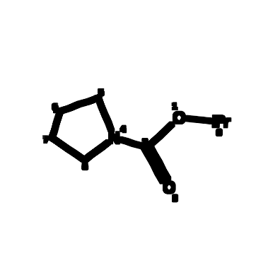 CC(C)OC(=O)N1C[CH]CC1